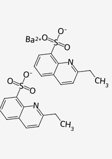 CCc1ccc2cccc(S(=O)(=O)[O-])c2n1.CCc1ccc2cccc(S(=O)(=O)[O-])c2n1.[Ba+2]